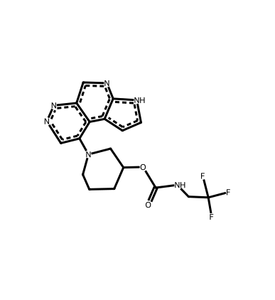 O=C(NCC(F)(F)F)OC1CCCN(c2cnnc3cnc4[nH]ccc4c23)C1